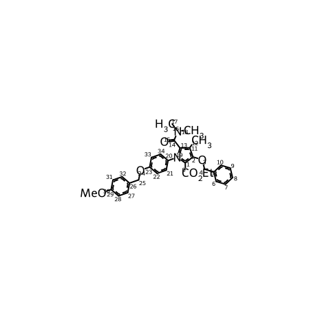 CCOC(=O)c1c(OCc2ccccc2)c(C)c(C(=O)N(C)C)n1-c1ccc(OCc2ccc(OC)cc2)cc1